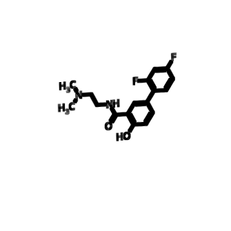 CN(C)CCNC(=O)c1cc(-c2ccc(F)cc2F)ccc1O